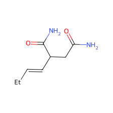 CCC=CC(CC(N)=O)C(N)=O